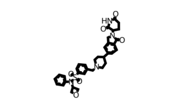 O=C1CCC(N2Cc3cc(C4CCN(Cc5cccc(S(=O)(=O)N(c6ccccc6)C6COC6)c5)CC4)ccc3C2=O)C(=O)N1